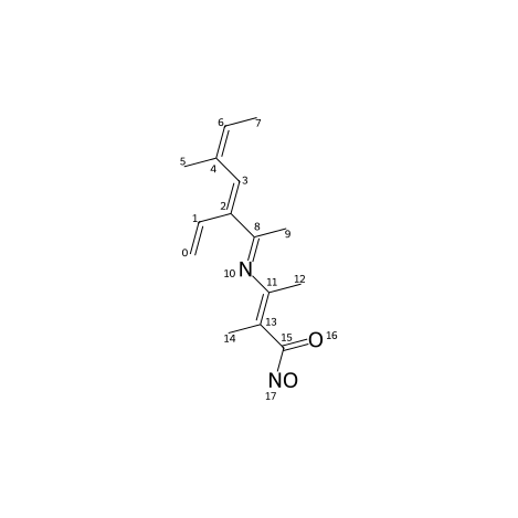 C=CC(=C\C(C)=C/C)/C(C)=N/C(C)=C(\C)C(=O)N=O